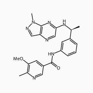 COc1cc(C(=O)Nc2cccc([C@H](C)Nc3cnc4cnn(C)c4n3)c2)cnc1C